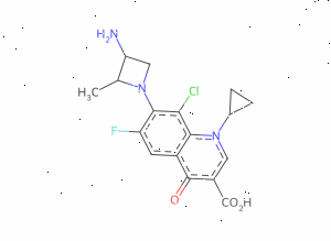 CC1C(N)CN1c1c(F)cc2c(=O)c(C(=O)O)cn(C3CC3)c2c1Cl